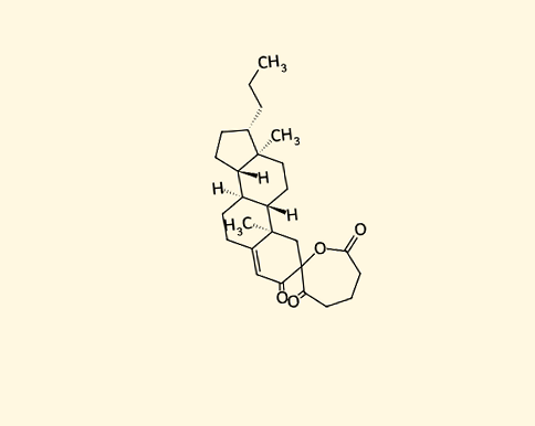 CCC[C@H]1CC[C@H]2[C@@H]3CCC4=CC(=O)C5(C[C@]4(C)[C@H]3CC[C@]12C)OC(=O)CCCC5=O